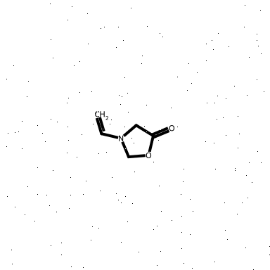 C=CN1COC(=O)C1